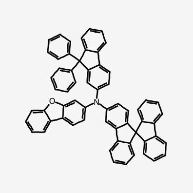 c1ccc(C2(c3ccccc3)c3ccccc3-c3ccc(N(c4ccc5c(c4)-c4ccccc4C54c5ccccc5-c5ccccc54)c4ccc5c(c4)oc4ccccc45)cc32)cc1